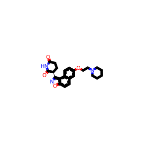 O=C1CC[C@H](c2noc3ccc4cc(OCCN5CCCCC5)ccc4c23)C(=O)N1